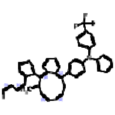 C=C1/C=C\C=C/C/C(c2ccc(N(c3ccccc3)c3ccc(C(F)(F)F)cc3)cc2)=c2/cccc/c2=C/1c1ccccc1/C=C\C=C/I